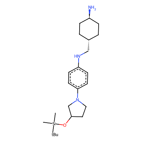 CC(C)(C)[Si](C)(C)OC1CCN(c2ccc(NC[C@H]3CC[C@H](N)CC3)cc2)C1